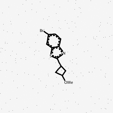 COC1CC(c2nc3ccc(Br)cc3s2)C1